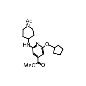 COC(=O)c1cc(NC2CCN(C(C)=O)CC2)nc(OC2CCCC2)c1